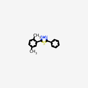 Cc1ccc(C)c(-c2nnc(-c3ccccc3)s2)c1